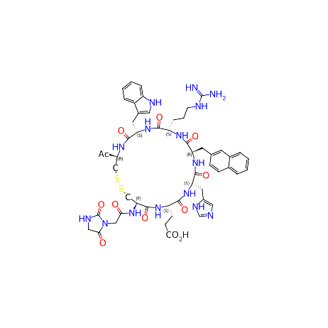 CC(=O)[C@@H]1CSSC[C@H](NC(=O)CN2C(=O)CNC2=O)C(=O)N[C@@H](CCC(=O)O)C(=O)N[C@@H](Cc2cnc[nH]2)C(=O)N[C@H](Cc2ccc3ccccc3c2)C(=O)N[C@@H](CCCNC(=N)N)C(=O)N[C@@H](Cc2c[nH]c3ccccc23)C(=O)N1